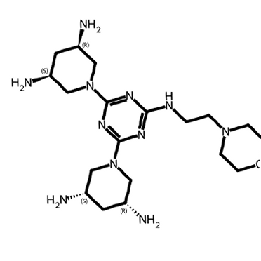 N[C@@H]1C[C@H](N)CN(c2nc(NCCN3CCOCC3)nc(N3C[C@H](N)C[C@H](N)C3)n2)C1